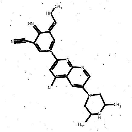 CN/C=C1/C=C(c2cc(Cl)c3cc(N4CC(C)NC(C)C4)cnc3n2)C=C(C#N)C1=N